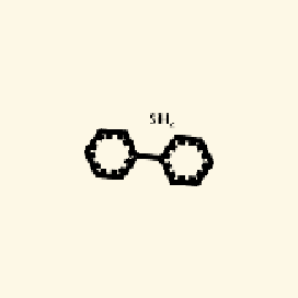 [SiH4].c1ccc(-c2ccccc2)cc1